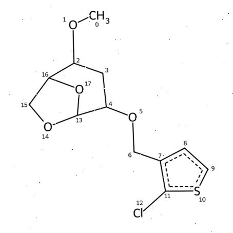 COC1CC(OCc2ccsc2Cl)C2OCC1O2